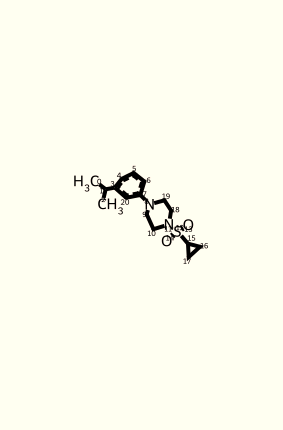 CC(C)c1cccc(N2CCN(S(=O)(=O)C3CC3)CC2)c1